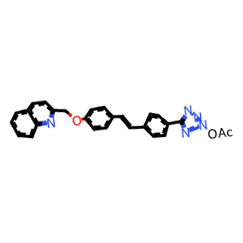 CC(=O)On1nnc(-c2ccc(C=Cc3ccc(OCc4ccc5ccccc5n4)cc3)cc2)n1